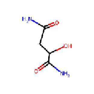 NC(=O)[CH]C(O)C(N)=O